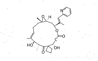 CC(=Cc1ccccn1)[C@@H]1C[C@@H]2O[C@@]2(C)CC/C=C(\C)[C@H](O)[C@@H](C)C(=O)C2(CCC2)[C@@H](O)CC(=O)O1